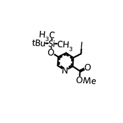 COC(=O)c1ncc(O[Si](C)(C)C(C)(C)C)cc1CI